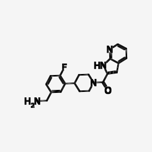 NCc1ccc(F)c(C2CCN(C(=O)c3cc4cccnc4[nH]3)CC2)c1